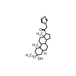 CO[C@@]1(O)CC[C@]2(C)C3CC[C@@]4(C)C(CC[C@@H]4C(=O)Cn4ccnc4)C3CC[C@H]2C1